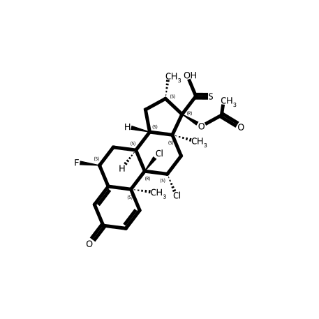 CC(=O)O[C@]1(C(O)=S)[C@@H](C)C[C@H]2[C@@H]3C[C@H](F)C4=CC(=O)C=C[C@]4(C)[C@@]3(Cl)[C@@H](Cl)C[C@@]21C